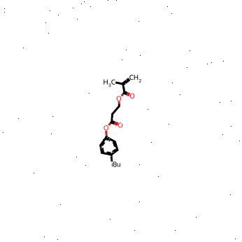 C=C(C)C(=O)OCCC(=O)Oc1ccc(C(C)CC)cc1